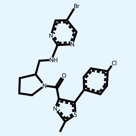 Cc1nc(C(=O)N2CCCC2CNc2ncc(Br)cn2)c(-c2ccc(Cl)cc2)s1